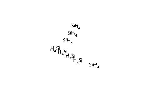 [SiH4].[SiH4].[SiH4].[SiH4].[SiH4].[SiH4].[SiH4].[SiH4]